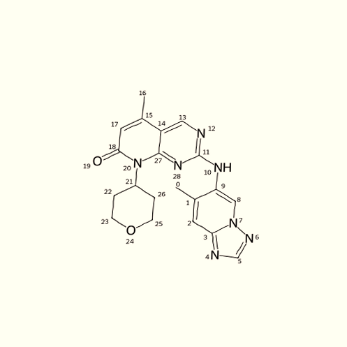 Cc1cc2ncnn2cc1Nc1ncc2c(C)cc(=O)n(C3CCOCC3)c2n1